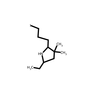 CCC1CC(C)(C)C(CCCI)N1